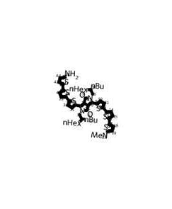 CCCCCCC(CCCC)CN1C(=O)C2=C(c3ccc(-c4ccc(-c5ccc(NC)s5)s4)s3)N(CC(CCCC)CCCCCC)C(=O)C2=C1c1ccc(-c2ccc(-c3ccc(N)s3)s2)s1